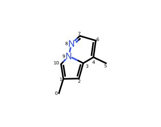 Cc1cc2c(C)ccnn2c1